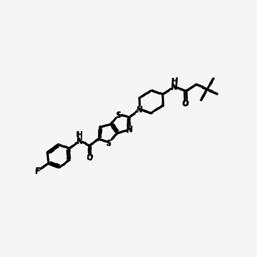 CC(C)(C)CC(=O)NC1CCN(c2nc3sc(C(=O)Nc4ccc(F)cc4)cc3s2)CC1